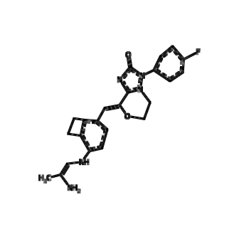 C/C(N)=C/Nc1ccc(/C=C2\OCCn3c2nc(=O)n3-c2ccc(F)cc2)c2c1CC2